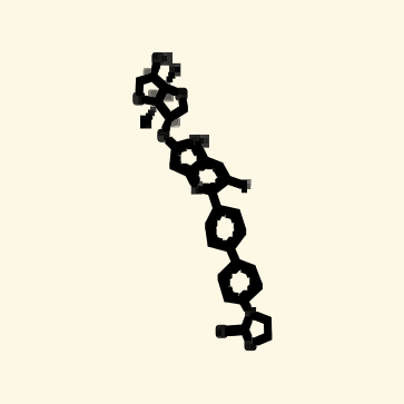 O=C1OCCN1c1ccc(-c2ccc(-c3nc4cc(O[C@@H]5CO[C@H]6[C@@H]5OC[C@H]6O)[nH]c4cc3F)cc2)cc1